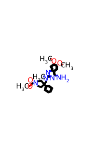 COC(=O)N1CCC(CN(C)c2nc(N)c3cc(OC)c(OC)cc3n2)(c2ccccc2)CC1